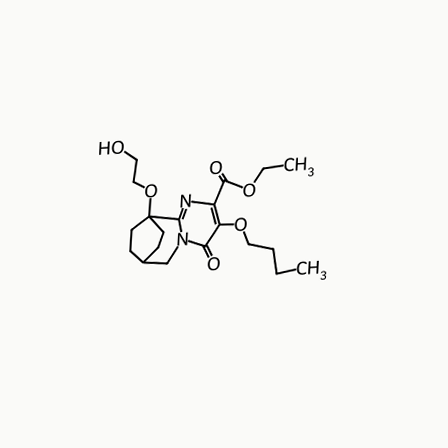 CCCCOc1c(C(=O)OCC)nc2n(c1=O)CC1CCC2(OCCO)CC1